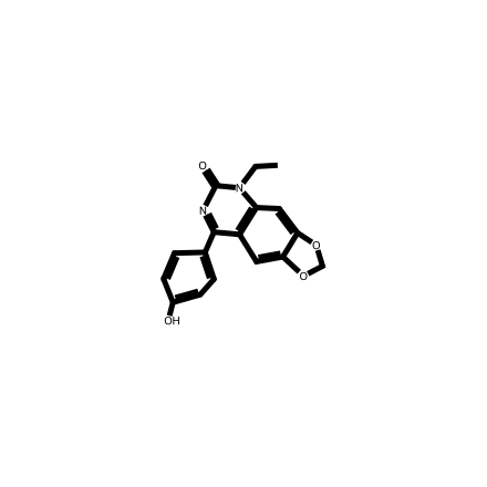 CCn1c(=O)nc(-c2ccc(O)cc2)c2cc3c(cc21)OCO3